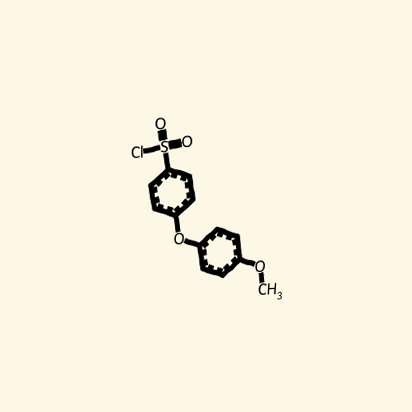 COc1ccc(Oc2ccc(S(=O)(=O)Cl)cc2)cc1